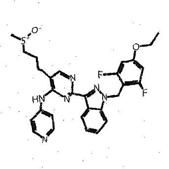 CCOc1cc(F)c(Cn2nc(-c3ncc(CCC[S+](C)[O-])c(Nc4ccncc4)n3)c3ccccc32)c(F)c1